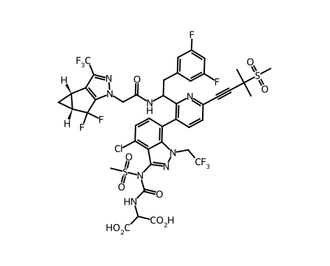 CC(C)(C#Cc1ccc(-c2ccc(Cl)c3c(N(C(=O)NC(C(=O)O)C(=O)O)S(C)(=O)=O)nn(CC(F)(F)F)c23)c(C(Cc2cc(F)cc(F)c2)NC(=O)Cn2nc(C(F)(F)F)c3c2C(F)(F)[C@@H]2C[C@H]32)n1)S(C)(=O)=O